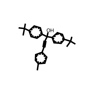 Cc1ccc(C#CC(O)(c2ccc(C(C)(C)C)cc2)c2ccc(C(C)(C)C)cc2)cc1